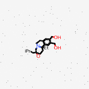 CCC12CC3OC3(CC(C)C)CN1CCc1cc(CO)c(CO)cc12